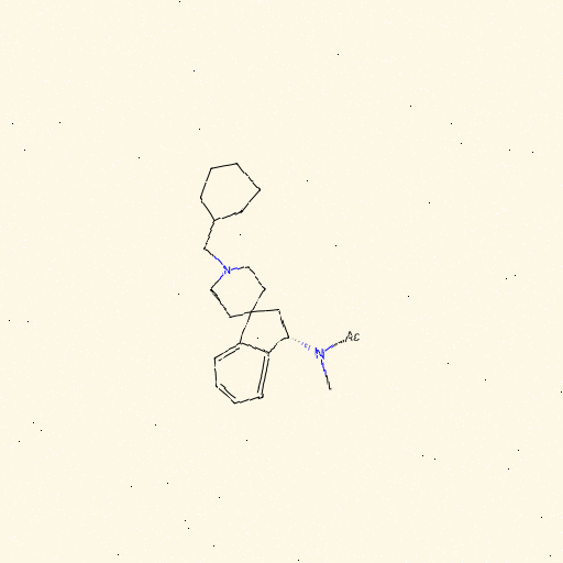 CC(=O)N(C)[C@H]1CC2(CCN(CC3CCCCC3)CC2)c2ccccc21